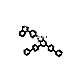 N=C1C=C(c2ccc(-c3ccccc3)cc2)C=C(c2ccc(-c3ccccc3)cc2)/C1=N/Nc1ccc(-c2cncc3ccccc23)cc1